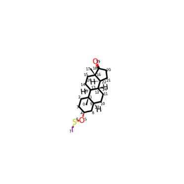 C[C@]12CC[C@H](OSI)C[C@@H]1CC[C@@H]1[C@@H]2CC[C@]2(C)C(=O)CC[C@@H]12